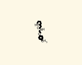 Cc1ccc(OCCNC(=O)CC2CCCCN2)cc1